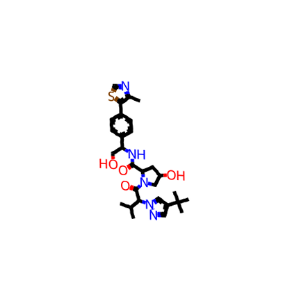 Cc1ncsc1-c1ccc(C(CO)NC(=O)C2CC(O)CN2C(=O)C(C(C)C)n2cc(C(C)(C)C)cn2)cc1